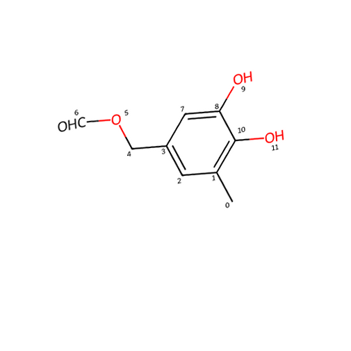 Cc1cc(COC=O)cc(O)c1O